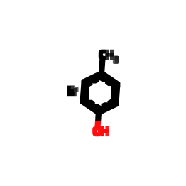 Cc1ccc(O)cc1.[Er]